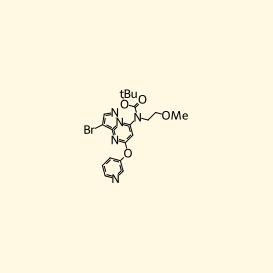 COCCN(C(=O)OC(C)(C)C)c1cc(Oc2cccnc2)nc2c(Br)cnn12